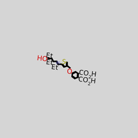 CC/C(=C\CCC(O)(CC)CC)c1cc(COc2ccc(C(=O)O)c(C(=O)O)c2)cs1